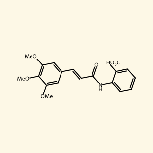 COc1cc(C=CC(=O)Nc2ccccc2C(=O)O)cc(OC)c1OC